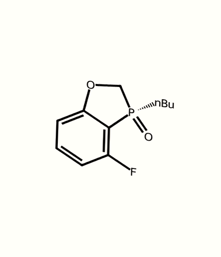 CCCC[P@@]1(=O)COc2cccc(F)c21